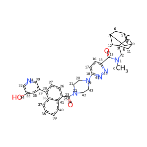 CN(CC12CC3CC(CC(C3)C1)C2)C(=O)c1ccc(N2CCN(C(=O)c3ccc(-c4cncc(O)c4)c4ccccc34)CC2)nn1